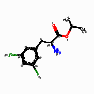 CC(C)OC(=O)[C@@H](N)Cc1cc(F)cc(F)c1